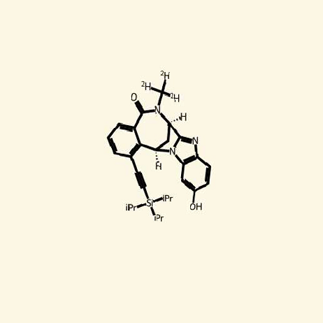 [2H]C([2H])([2H])N1C(=O)c2cccc(C#C[Si](C(C)C)(C(C)C)C(C)C)c2[C@H]2C[C@@H]1c1nc3ccc(O)cc3n12